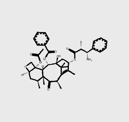 CC(=O)O[C@@]12CO[C@@H]1C[C@H](C)[C@@]1(C)C(=O)[C@H](C)C3=C(C)[C@@H](OC(=O)[C@H](C)[C@@H](N)c4ccccc4)C[C@@](O)([C@@H](OC(=O)c4ccccc4)[C@H]21)C3(C)C